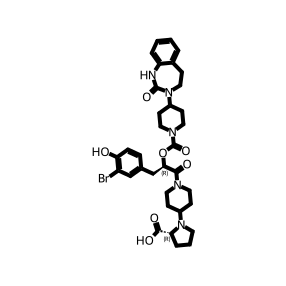 O=C(O)[C@H]1CCCN1C1CCN(C(=O)[C@@H](Cc2ccc(O)c(Br)c2)OC(=O)N2CCC(N3CCc4ccccc4NC3=O)CC2)CC1